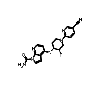 N#Cc1ccc(N2CC[C@H](Nc3ccnc4c3ccn4C(N)=O)[C@H](F)C2)nc1